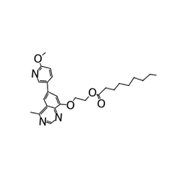 CCCCCCCCC(=O)OCCOc1cc(-c2ccc(OC)nc2)cc2c(C)ncnc12